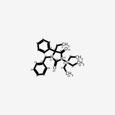 CCC1(c2ccccc2)C(=O)N([Si](CC)(CC)CC)C(=O)N1Cc1ccccc1